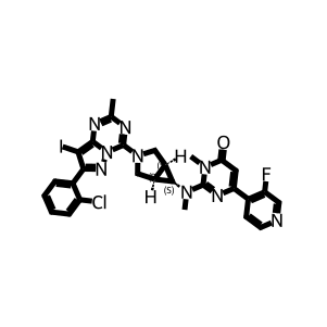 Cc1nc(N2C[C@@H]3[C@H](C2)[C@H]3N(C)c2nc(-c3ccncc3F)cc(=O)n2C)n2nc(-c3ccccc3Cl)c(I)c2n1